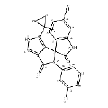 CC1(c2[nH]nc3c2C2(C(=O)Nc4cc(Cl)ccc42)N(c2cccc(Cl)c2)C3=O)CC1